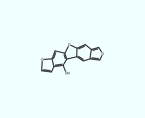 Oc1c2ccoc2cc2oc3cc4cocc4cc3c12